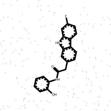 O=C(Cc1ccc2c(c1)[nH]c1cc(F)ccc12)Nc1ccccc1O